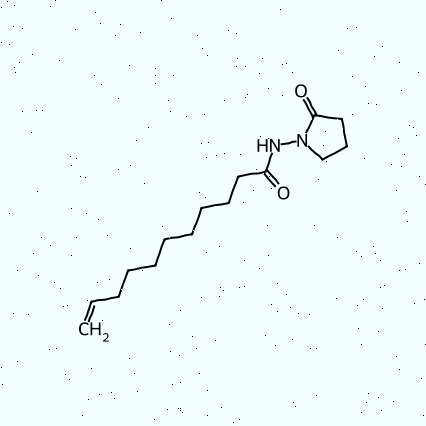 C=CCCCCCCCCC(=O)NN1CCCC1=O